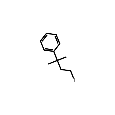 CC(C)(CCI)c1ccccc1